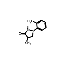 Cc1ccccc1N1CC(C)C(=O)N1